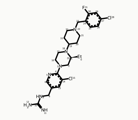 CC[C@H]1CN(c2ncc(CNC(=N)N)cc2Cl)CCN1C1CCN(Cc2ccc(Cl)cc2F)CC1